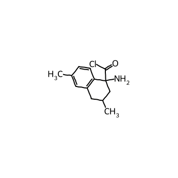 Cc1ccc2c(c1)CC(C)CC2(N)C(=O)Cl